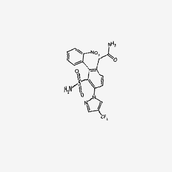 NC(=O)Cc1ccc(-n2cc(C(F)(F)F)cn2)c(S(N)(=O)=O)c1-c1ccccc1[N+](=O)[O-]